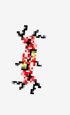 CCCCOC(C(=O)c1scc2c1OCC(COCC(CC)CCCC)(COCC(CC)CCCC)CO2)C(OCCCC)C(=O)c1scc2c1OCC(COCC(CC)CCCC)(COCC(CC)CCCC)CO2